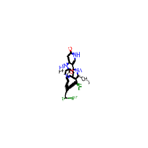 C[C@@H](NC(=O)c1c[nH]c(=O)cc1N[C@@H]1CN2CCC1CC2)c1cccc(C(F)F)c1F